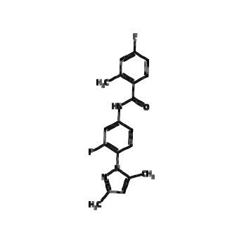 Cc1cc(C)n(-c2ccc(NC(=O)c3ccc(F)cc3C)cc2F)n1